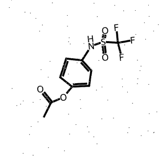 CC(=O)Oc1ccc(NS(=O)(=O)C(F)(F)F)cc1